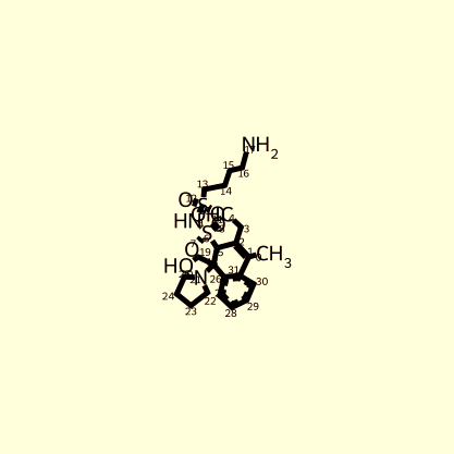 CC1=C(CC=O)C(S(=O)(=O)NS(=O)(=O)CCCCN)C(CO)(N2CCCC2)c2ccccc21